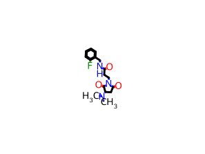 CN(C)C1CC(=O)N(CCC(=O)NCc2ccccc2F)C1=O